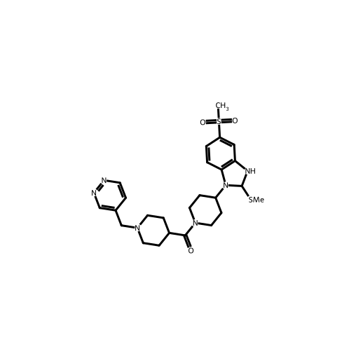 CSC1Nc2cc(S(C)(=O)=O)ccc2N1C1CCN(C(=O)C2CCN(Cc3ccnnc3)CC2)CC1